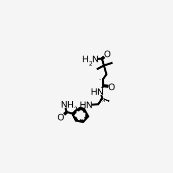 C[C@@H](CNc1cccc(C(N)=O)c1)NC(=O)[CH]CC(C)(C)C(N)=O